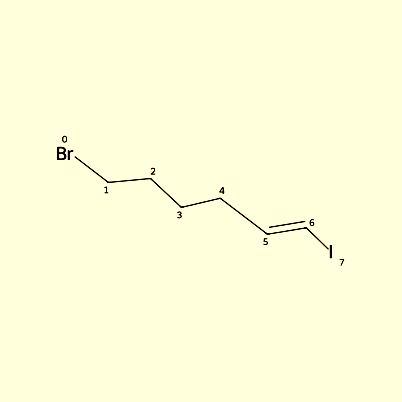 BrCCCCC=CI